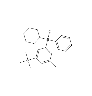 Cc1cc([Si](C)(C)C)cc([Si](Cl)(c2ccccc2)C2CCCCC2)c1